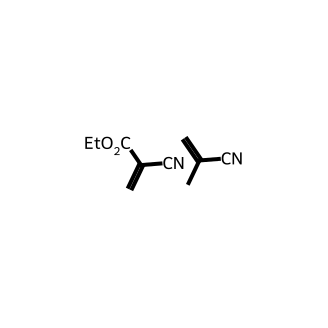 C=C(C#N)C(=O)OCC.C=C(C)C#N